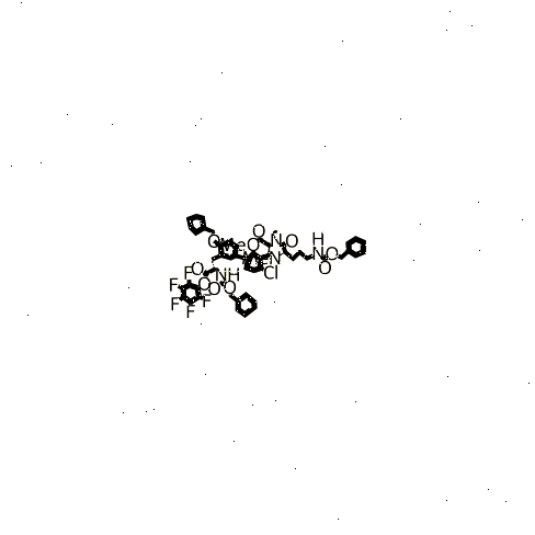 CN[C@@H](CCCNC(=O)OCc1ccccc1)C(=O)N(C)[C@@H](Cc1cc(-c2ccc(OCc3ccccc3)c(C[C@H](NC(=O)OCc3ccccc3)C(=O)Oc3c(F)c(F)c(F)c(F)c3F)c2)ccc1Cl)C(=O)OC